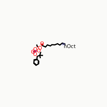 CCCCCCCC/C=C\CCCCCCCC(=O)OC(C)OP1(=O)OCC(C)(C)C(c2ccccc2)O1